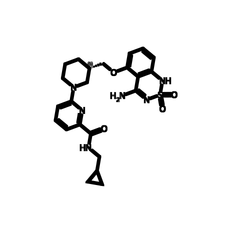 NC1=NS(=O)(=O)Nc2cccc(OC[C@H]3CCCN(c4cccc(C(=O)NCC5CC5)n4)C3)c21